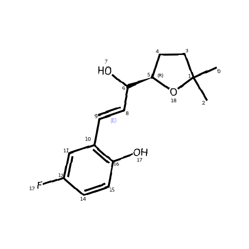 CC1(C)CC[C@H](C(O)/C=C/c2cc(F)ccc2O)O1